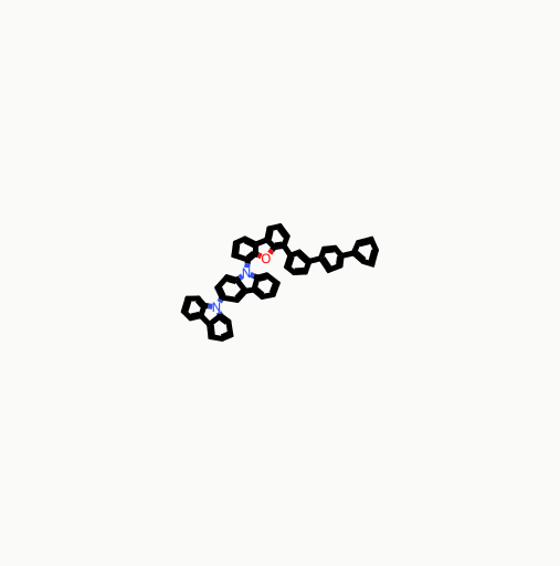 c1ccc(-c2ccc(-c3cccc(-c4cccc5c4oc4c(-n6c7ccccc7c7cc(-n8c9ccccc9c9ccccc98)ccc76)cccc45)c3)cc2)cc1